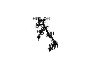 N#C[C@H]1CC(F)(F)CN1C(=O)CNC(=O)c1ccnc2ccc(OCCCN3CCN(C(=O)[C@H](O)CSCCNC(=O)C(CSCCNC(=O)CCCc4ccc(I)cc4)NC(=O)CN4CCN(CC(=O)O)CCN(CC(=O)O)CCN(CC(=O)O)CC4)CC3)cc12